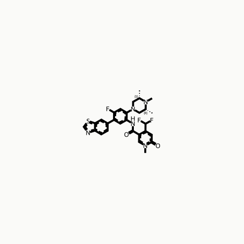 C[C@@H]1CN(c2cc(F)c(-c3ccc4ncsc4c3)cc2NC(=O)c2cn(C)c(=O)cc2C(F)F)C[C@H](C)N1C